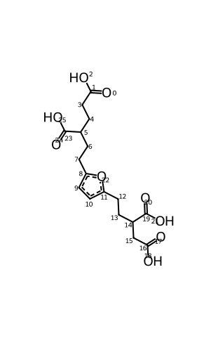 O=C(O)CCC(CCc1ccc(CCC(CC(=O)O)C(=O)O)o1)C(=O)O